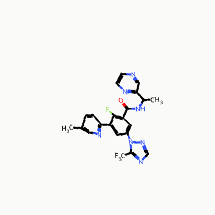 Cc1ccc(-c2cc(-n3ncnc3C(F)(F)F)cc(C(=O)NC(C)c3cnccn3)c2F)nc1